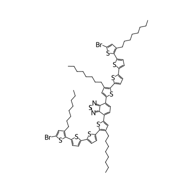 CCCCCCCCc1cc(Br)sc1-c1ccc(-c2ccc(-c3sc(-c4ccc(-c5cc(CCCCCCCC)c(-c6ccc(-c7ccc(-c8sc(Br)cc8CCCCCCCC)s7)s6)s5)c5nsnc45)cc3CCCCCCCC)s2)s1